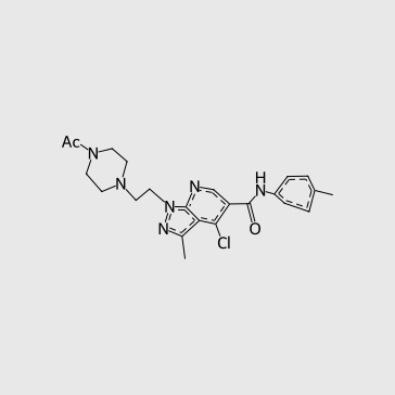 CC(=O)N1CCN(CCn2nc(C)c3c(Cl)c(C(=O)Nc4ccc(C)cc4)cnc32)CC1